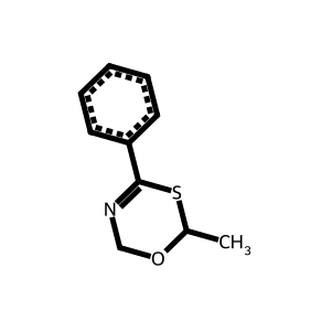 CC1OCN=C(c2ccccc2)S1